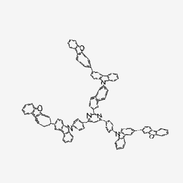 C1=c2oc3ccccc3c2=CCC1c1ccc2c(c1)c1ccccc1n2-c1ccc(-c2cc(-c3ccc(-n4c5ccccc5c5cc(-c6ccc7c(c6)oc6ccccc67)ccc54)cc3)nc(-c3ccc4cc(-n5c6ccccc6c6cc(-c7ccc8c(c7)oc7ccccc78)ccc65)ccc4c3)n2)cc1